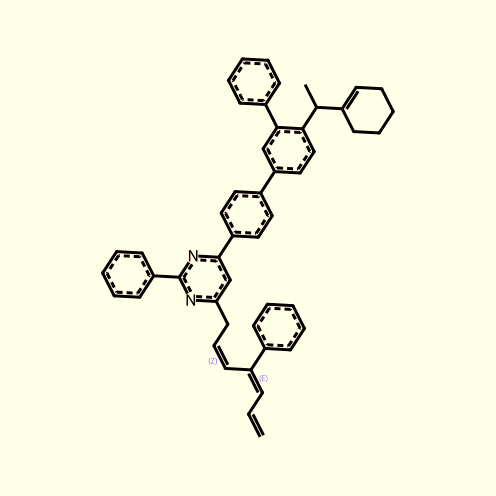 C=C/C=C(\C=C/Cc1cc(-c2ccc(-c3ccc(C(C)C4=CCCCC4)c(-c4ccccc4)c3)cc2)nc(-c2ccccc2)n1)c1ccccc1